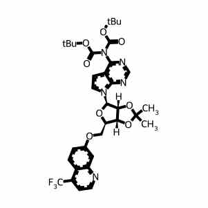 CC(C)(C)OC(=O)N(C(=O)OC(C)(C)C)c1ncnc2c1ccn2[C@@H]1O[C@H](COc2ccc3c(C(F)(F)F)ccnc3c2)[C@H]2OC(C)(C)O[C@H]21